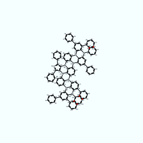 c1ccc(-c2cc3c4c(c2)N(c2ccccc2)c2c(-c5ccccc5)cc(-c5ccccc5)cc2N4c2cccc4c2B3c2ccc3c5c2N4c2c(-c4ccccc4)sc(-c4ccccc4)c2N5c2cccc4c2B3c2ccc(-c3ccccc3)c3c2N4c2cc(-c4ccccc4)cc(-c4ccccc4)c2N3c2ccccc2)cc1